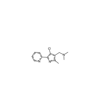 CN(C)Cc1c(Cl)c(-c2ccccn2)nn1C